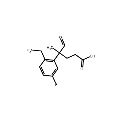 CC(C=O)(CCC(=O)O)c1cc(F)ccc1CN